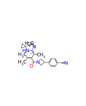 C=N/C(NC1(C)CC1)=C(\C)C(C(=O)N1CC(c2ccc(C#N)cc2)C1)=C(C)C